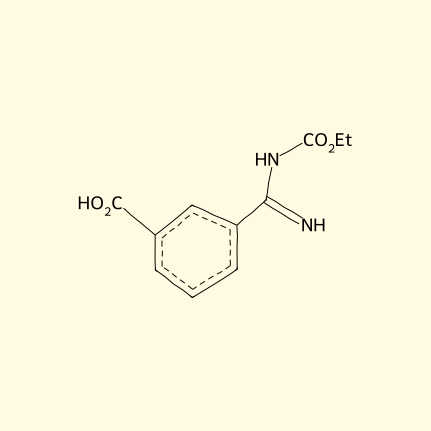 CCOC(=O)NC(=N)c1cccc(C(=O)O)c1